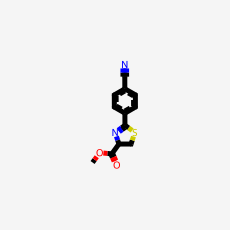 COC(=O)C1CSC(c2ccc(C#N)cc2)=N1